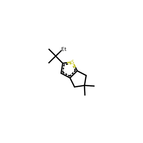 CCC(C)(C)c1cc2c(s1)CC(C)(C)C2